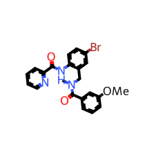 COc1cccc(C(=O)N(C)Cc2cc(Br)ccc2NC(=O)c2ccccn2)c1